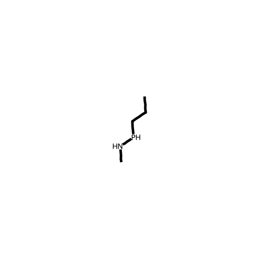 CCCPNC